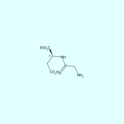 CCOC(=O)[C@H](CC(=O)O)NC(=O)CN